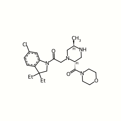 CCC1(CC)CN(C(=O)CN2C[C@@H](C)NC[C@@H]2C(=O)N2CCOCC2)c2cc(Cl)ccc21